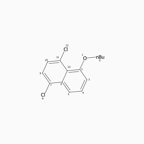 CCCCOc1cccc2c(Cl)ccc(Cl)c12